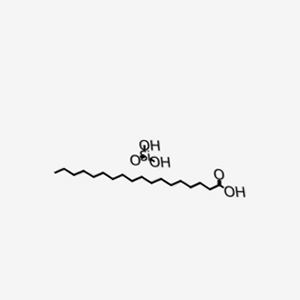 CCCCCCCCCCCCCCCCCC(=O)O.O=[Si](O)O